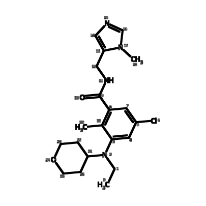 CCN(c1cc(Cl)cc(C(=O)NCc2cncn2C)c1C)C1CCOCC1